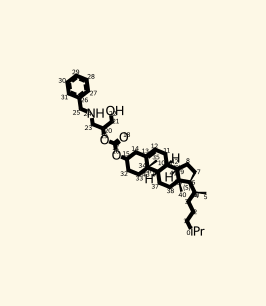 CC(C)CCC[C@H](C)[C@@H]1CC[C@@H]2[C@H]3CC=C4CC(OC(=O)OC(CO)CNCc5ccccc5)CC[C@@]4(C)[C@@H]3CC[C@]21C